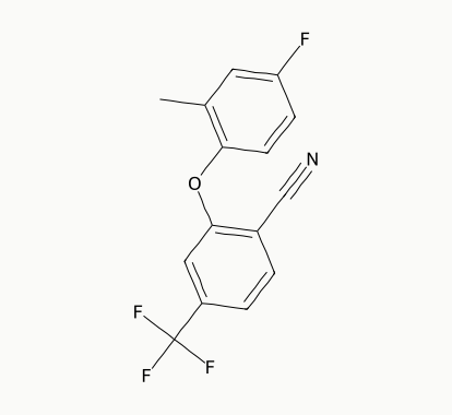 Cc1cc(F)ccc1Oc1cc(C(F)(F)F)ccc1C#N